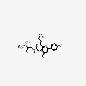 CN(C)C(=O)CNC(=O)Cn1c(CCCC(F)(F)F)nc(-c2ccc(Cl)cc2)cc1=O